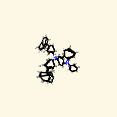 c1ccc(-n2c3ccccc3c3cc(N(c4ccc(C56CC7CC(CC(C7)C5)C6)cc4)c4ccc(C56CC7CC(CC(C7)C5)C6)cc4)ccc32)cc1